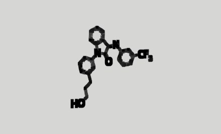 O=C1C(=Nc2cccc(C(F)(F)F)c2)c2ccccc2N1c1cccc(CCCO)c1